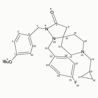 CC(C)COc1ccc(CN2C(=O)CC3(CCN(CC4CC4)CC3)N2Cc2ccc(F)cc2)cc1